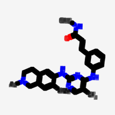 COc1cc2c(cc1Nc1ncc(C(F)(F)F)c(Nc3cccc(C=CC(=O)NC=O)c3)n1)CCN(C(C)=O)C2